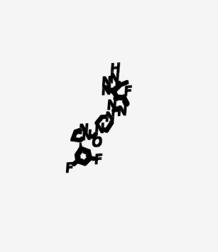 Cc1[nH]nnc1-c1nc(N2CCN(C(=O)N3N=CC[C@H]3c3cc(F)cc(F)c3)CC2)ncc1F